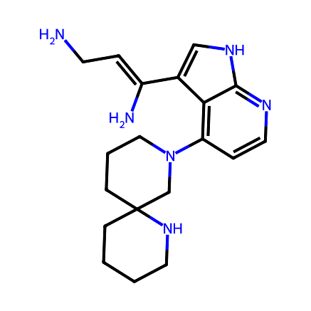 NC/C=C(\N)c1c[nH]c2nccc(N3CCCC4(CCCCN4)C3)c12